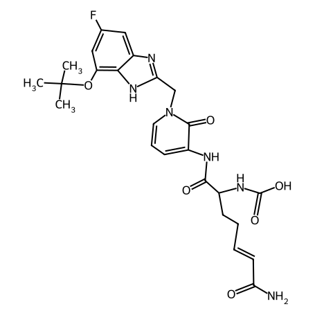 CC(C)(C)Oc1cc(F)cc2nc(Cn3cccc(NC(=O)C(CC/C=C/C(N)=O)NC(=O)O)c3=O)[nH]c12